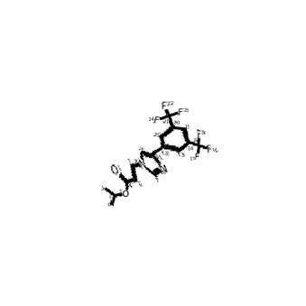 CC(C)OC(=O)/C=C/n1cnc(-c2cc(C(F)(F)F)cc(C(F)(F)F)c2)c1